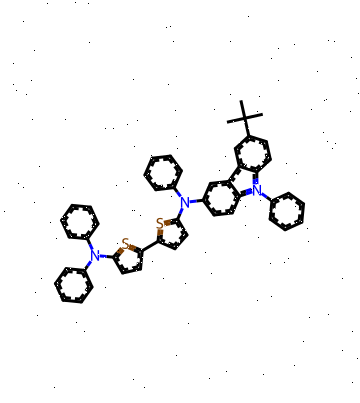 CC(C)(C)c1ccc2c(c1)c1cc(N(c3ccccc3)c3ccc(-c4ccc(N(c5ccccc5)c5ccccc5)s4)s3)ccc1n2-c1ccccc1